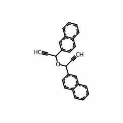 C#CC(OC(C#C)c1ccc2ccccc2c1)c1ccc2ccccc2c1